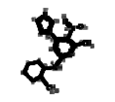 Cc1nc(NC2CCCCC2C)cc(-n2ccnc2)c1[N+](=O)[O-]